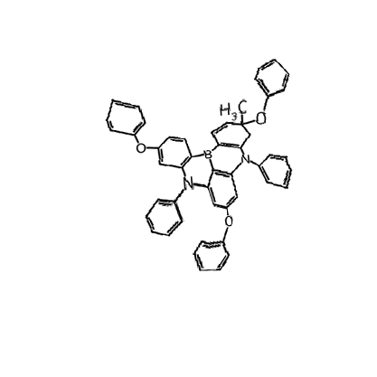 CC1(Oc2ccccc2)C=CC2=C(C1)N(c1ccccc1)c1cc(Oc3ccccc3)cc3c1B2c1ccc(Oc2ccccc2)cc1N3c1ccccc1